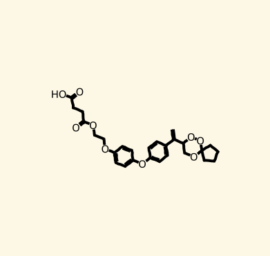 C=C(c1ccc(Oc2ccc(OCCOC(=O)CCC(=O)O)cc2)cc1)C1COC2(CCCC2)OO1